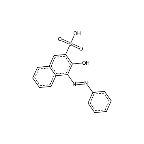 O=S(=O)(O)c1cc2ccccc2c(/N=N/c2ccccc2)c1O